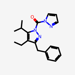 CCc1c(Cc2ccccc2)nn(C(=O)n2cccn2)c1C(C)C